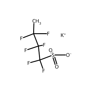 CC(F)(F)C(F)(F)C(F)(F)S(=O)(=O)[O-].[K+]